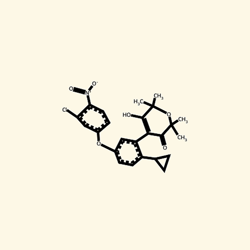 CC1(C)OC(C)(C)C(O)=C(c2cc(Oc3ccc([N+](=O)[O-])c(Cl)c3)ccc2C2CC2)C1=O